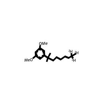 [2H]C([2H])([2H])CCCCCC(C)(C)c1cc(OC)cc(OC)c1